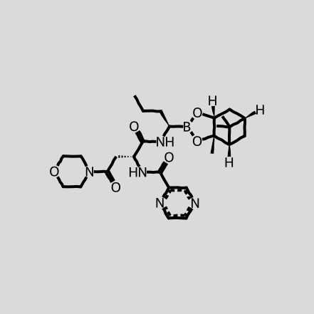 CCC[C@H](NC(=O)[C@@H](CC(=O)N1CCOCC1)NC(=O)c1cnccn1)B1O[C@@H]2C[C@@H]3C[C@@H](C3(C)C)[C@]2(C)O1